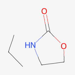 CCC.O=C1NCCO1